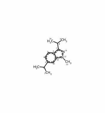 CC(C)c1ccc2c(C(C)C)nn(C)c2c1